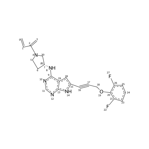 C=CC(=C)N1CC[C@@H](Nc2ncnc3[nH]c(C#CCOc4c(F)cccc4F)cc23)C1